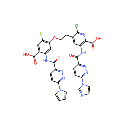 O=C(Nc1cc(OCCc2cc(NC(=O)c3ccc(-n4ccnc4)nn3)c(C(=O)O)nc2Cl)c(F)cc1C(=O)O)c1ccc(-n2cccc2)nn1